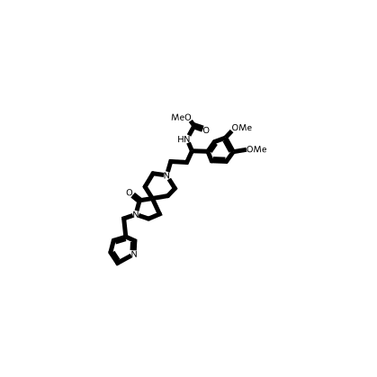 COC(=O)NC(CCN1CCC2(CC1)CCN(Cc1cccnc1)C2=O)c1ccc(OC)c(OC)c1